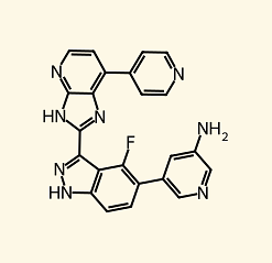 Nc1cncc(-c2ccc3[nH]nc(-c4nc5c(-c6ccncc6)ccnc5[nH]4)c3c2F)c1